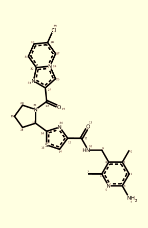 Cc1cc(N)nc(C)c1CNC(=O)c1csc(C2CCCN2C(=O)c2cn3cc(Cl)ccc3n2)n1